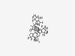 C/C=C(/NC(=O)C(C)C(C)(C)n1nc(I)c2c1C(F)(F)[C@@H]1C[C@H]21)C1=C(N(N)C(C)(C)Cc2nn(C(C)(C)C)c3c2[C@H]2C#C[C@H]2C3(F)F)C(F)(F)[C@H](C)[C@@H]1C